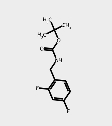 CC(C)(C)OC(=O)NCc1ccc(F)cc1F